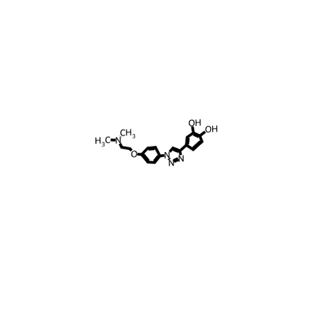 CN(C)CCOc1ccc(-n2cc(-c3ccc(O)c(O)c3)nn2)cc1